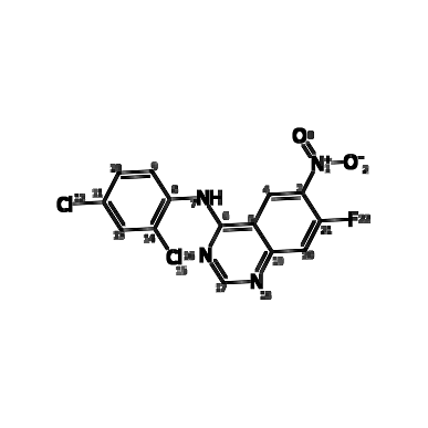 O=[N+]([O-])c1cc2c(Nc3ccc(Cl)cc3Cl)ncnc2cc1F